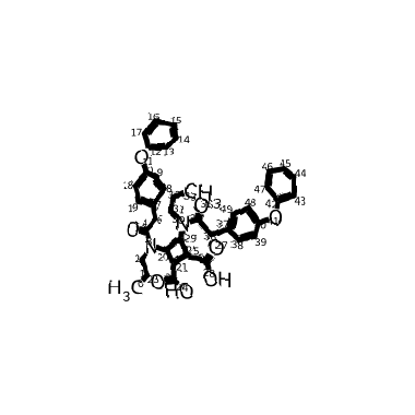 CCCN(C(=O)Cc1ccc(Oc2ccccc2)cc1)C1C(C(=O)O)C(C(=O)O)C1N(CCC)C(=O)Cc1ccc(Oc2ccccc2)cc1